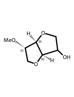 CO[C@H]1CO[C@@H]2C(O)CO[C@H]12